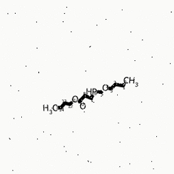 CCCCOCPCCC(=O)OCCCC